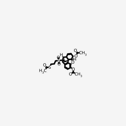 CC(=O)Oc1ccc2c3c1O[C@H]1[C@@H](OC(C)=O)C=CC4[C@@H](C2)N(S(=O)(=O)CCCSC(C)=O)CC[C@@]341